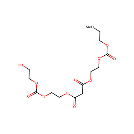 COCCOC(=O)OCCOC(=O)CC(=O)OCCOC(=O)OCCO